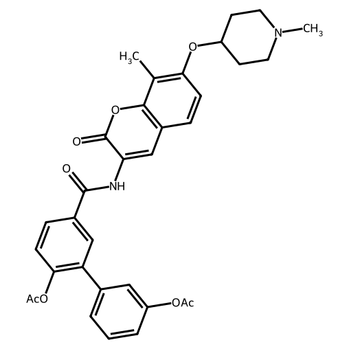 CC(=O)Oc1cccc(-c2cc(C(=O)Nc3cc4ccc(OC5CCN(C)CC5)c(C)c4oc3=O)ccc2OC(C)=O)c1